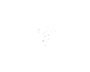 O=C(O)CNC(=O)c1c(O)c(C(=O)NCC2CC2)c(O)n(Cc2ccccc2C(F)(F)F)c1=O